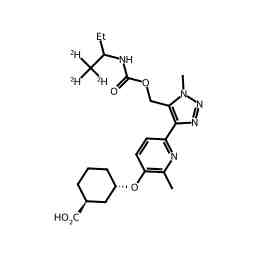 [2H]C([2H])([2H])C(CC)NC(=O)OCc1c(-c2ccc(O[C@H]3CCC[C@H](C(=O)O)C3)c(C)n2)nnn1C